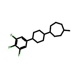 CC1CCCC(C2CCC(c3cc(F)c(F)c(F)c3)CC2)CC1